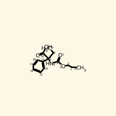 CCCOC(=O)NC(CC)(C(=O)O)c1ccccc1